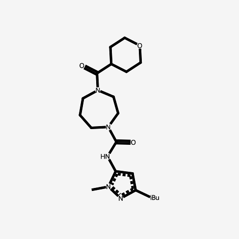 CCC(C)c1cc(NC(=O)N2CCCN(C(=O)C3CCOCC3)CC2)n(C)n1